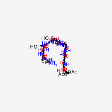 CC(=O)OCC(COP(=O)(O)OCCNC(=O)CCCCC(=O)NCC(=O)NCC(=O)N(CC(=O)O)CC(=O)NCC(=O)NCC(=O)N(CC(=O)O)CC(=O)NCCNC(=O)CN(CC(=O)O)C(=O)CNC(=O)CNC(=O)CN(CC(=O)O)C(=O)CNC(=O)CN)OC(C)=O